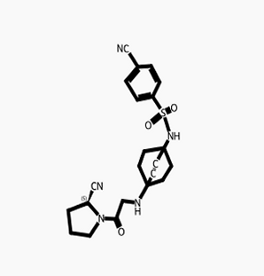 N#Cc1ccc(S(=O)(=O)NC23CCC(NCC(=O)N4CCC[C@H]4C#N)(CC2)CC3)cc1